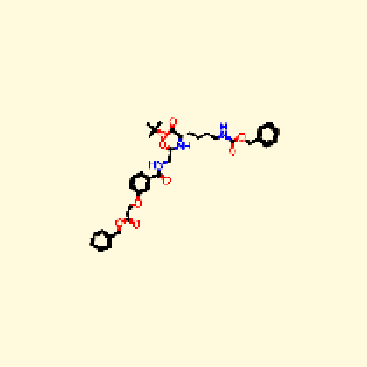 CC(C)(C)OC(=O)[C@H](CCCCNC(=O)OCc1ccccc1)NC(=O)CNC(=O)c1cccc(OCC(=O)OCc2ccccc2)c1